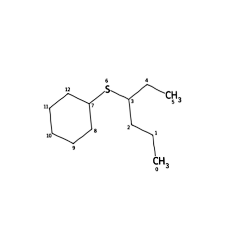 CCCC(CC)SC1CCCCC1